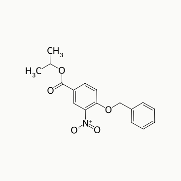 CC(C)OC(=O)c1ccc(OCc2ccccc2)c([N+](=O)[O-])c1